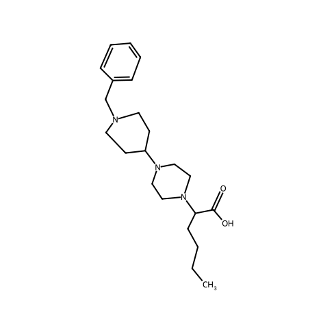 CCCCC(C(=O)O)N1CCN(C2CCN(Cc3ccccc3)CC2)CC1